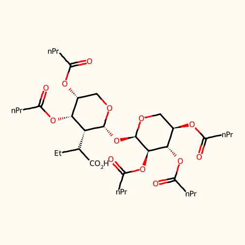 CCCC(=O)O[C@@H]1[C@@H](OC(=O)CCC)[C@@H](O[C@H]2OC[C@@H](OC(=O)CCC)[C@@H](OC(=O)CCC)[C@H]2C(CC)C(=O)O)OC[C@H]1OC(=O)CCC